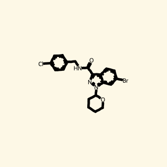 O=C(NCc1ccc(Cl)cc1)c1nn(C2CCCCO2)c2cc(Br)ccc12